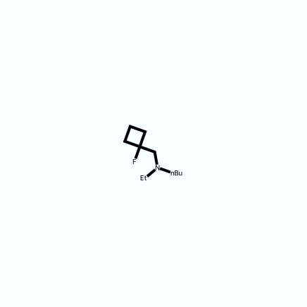 CCCCN(CC)CC1(F)CCC1